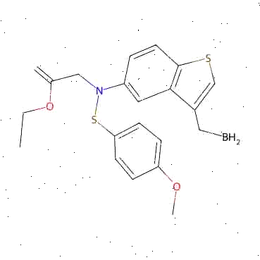 BCc1csc2ccc(N(CC(=C)OCC)Sc3ccc(OC)cc3)cc12